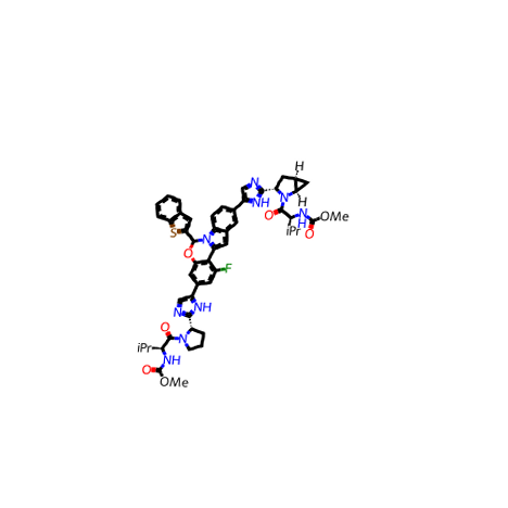 COC(=O)N[C@H](C(=O)N1CCC[C@H]1c1ncc(-c2cc(F)c3c(c2)OC(c2cc4ccccc4s2)n2c-3cc3cc(-c4cnc([C@@H]5C[C@H]6C[C@H]6N5C(=O)[C@@H](NC(=O)OC)C(C)C)[nH]4)ccc32)[nH]1)C(C)C